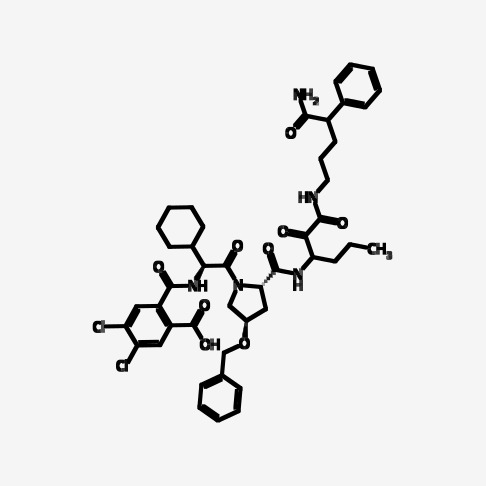 CCCC(NC(=O)[C@@H]1C[C@@H](OCc2ccccc2)CN1C(=O)[C@@H](NC(=O)c1cc(Cl)c(Cl)cc1C(=O)O)C1CCCCC1)C(=O)C(=O)NCCCC(C(N)=O)c1ccccc1